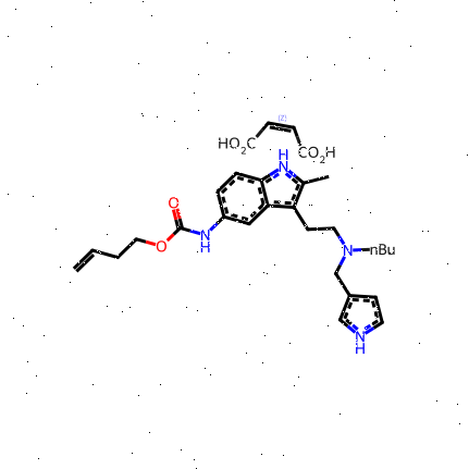 C=CCCOC(=O)Nc1ccc2[nH]c(C)c(CCN(CCCC)Cc3cc[nH]c3)c2c1.O=C(O)/C=C\C(=O)O